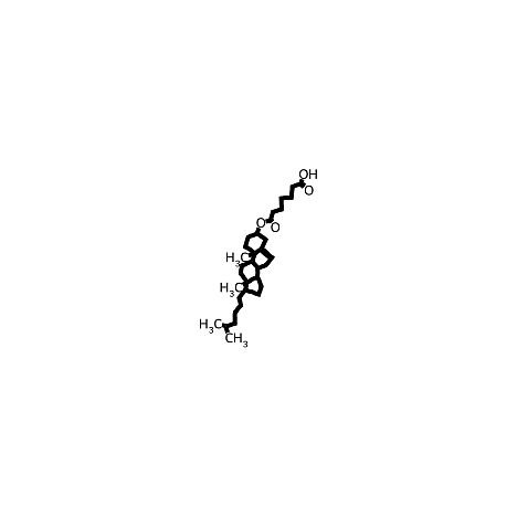 CC(C)CCCCC1CCC2C3CC=C4CC(OC(=O)CCCCCC(=O)O)CCC4(C)C3CCC12C